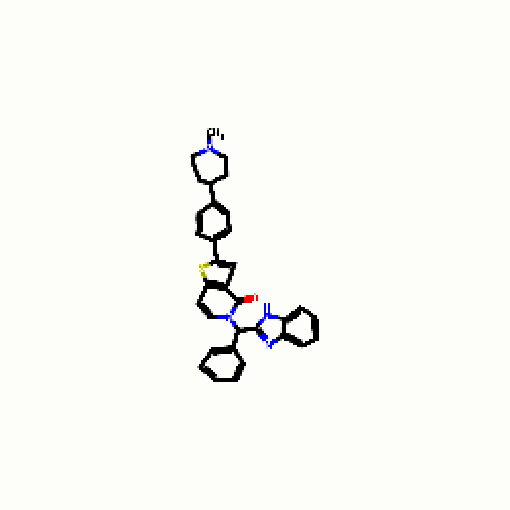 CN1CCC(c2ccc(-c3cc4c(=O)n(C(c5ccccc5)c5nc6ccccc6[nH]5)ccc4s3)cc2)CC1